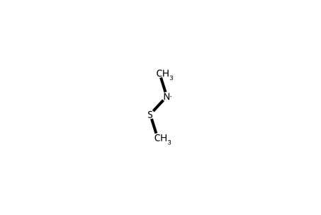 C[N]SC